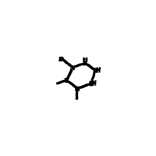 CCN1BNBN(C)B1C